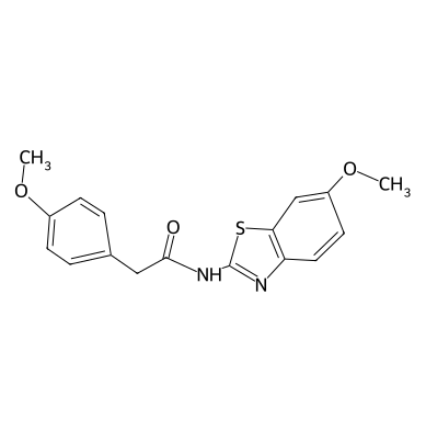 COc1ccc(CC(=O)Nc2nc3ccc(OC)cc3s2)cc1